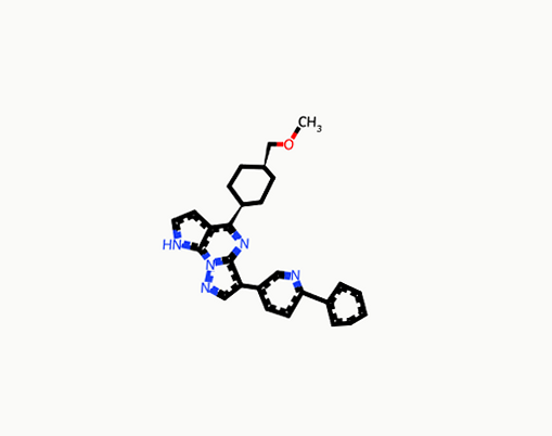 COC[C@H]1CC[C@@H](c2nc3c(-c4ccc(-c5ccccc5)nc4)cnn3c3[nH]ccc32)CC1